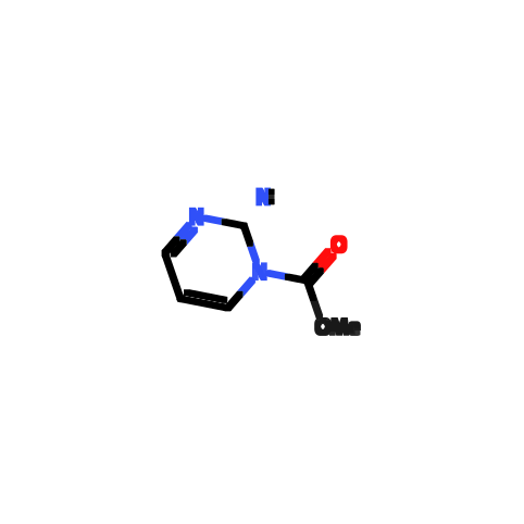 COC(=O)N1C=CC=NC1.[N]